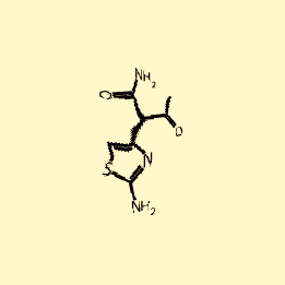 CC(=O)[C](C(N)=O)c1csc(N)n1